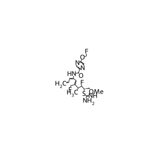 C=C/C=C(\C=C(/CF)[C@H](C)[C@@H](F)[C@@H](COC)SC(=N)N)NC(=O)c1cnc(OCF)cn1